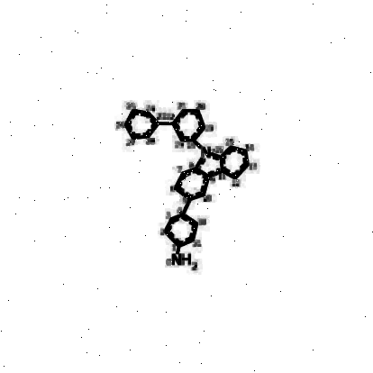 Nc1ccc(-c2ccc3c(c2)c2ccccc2n3-c2cccc(-c3ccccc3)c2)cc1